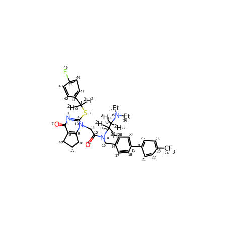 [2H]C([2H])(Sc1nc(=O)c2c(n1CC(=O)N(Cc1ccc(-c3ccc(C(F)(F)F)cc3)cc1)C([2H])([2H])C([2H])([2H])N(CC)CC)CCC2)c1ccc(F)cc1